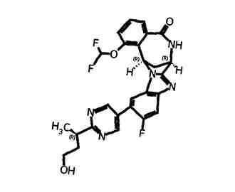 C[C@H](CCO)c1ncc(-c2cc3c(cc2F)nc2n3[C@@H]3C[C@H]2NC(=O)c2cccc(OC(F)F)c23)cn1